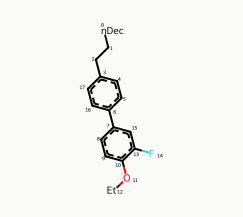 CCCCCCCCCCCCc1ccc(-c2ccc(OCC)c(F)c2)cc1